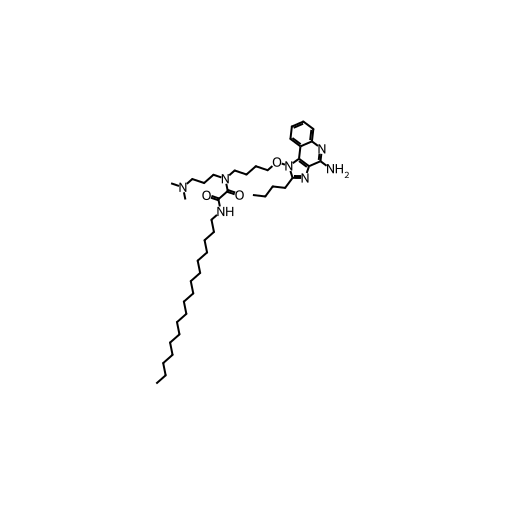 CCCCCCCCCCCCCCCCCNC(=O)C(=O)N(CCCCOn1c(CCCC)nc2c(N)nc3ccccc3c21)CCCN(C)C